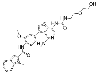 COc1cc(-c2csc3c(NC(=O)NCCOCCO)cnc(N)c23)ccc1NC(=O)c1cc2ccccc2n1C